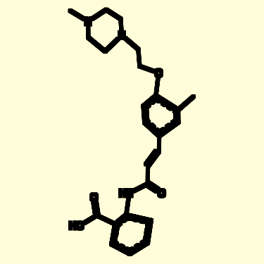 Cc1cc(/C=C/C(=O)Nc2ccccc2C(=O)O)ccc1OCCN1CCN(C)CC1